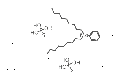 CCCCCCCC[CH2][Mo]([CH2]CCCCCCCC)[c]1ccccc1.OP(O)(O)=S.OP(O)(O)=S